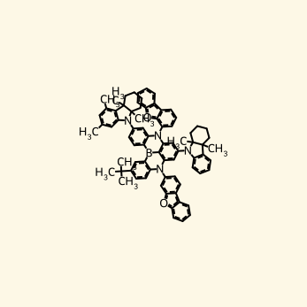 Cc1cc(C)c2c(c1)N(c1ccc3c(c1)N(c1cccc4c1oc1ccccc14)c1cc(N4c5ccccc5C5(C)CCCCC45C)cc4c1B3c1cc(C(C)(C)C)ccc1N4c1ccc3c(c1)oc1ccccc13)C1(C)CCCCC21C